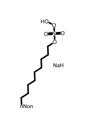 CCCCCCCCCCCCCCCCCCOS(=O)(=O)OO.[NaH]